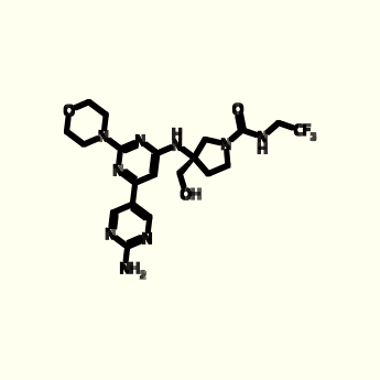 Nc1ncc(-c2cc(N[C@@]3(CO)CCN(C(=O)NCC(F)(F)F)C3)nc(N3CCOCC3)n2)cn1